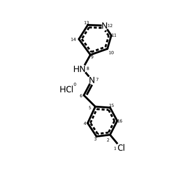 Cl.Clc1ccc(C=NNc2ccncc2)cc1